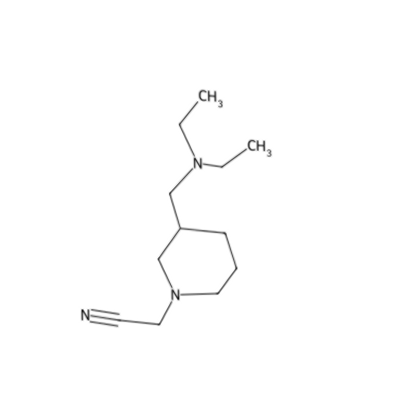 CCN(CC)CC1CCCN(CC#N)C1